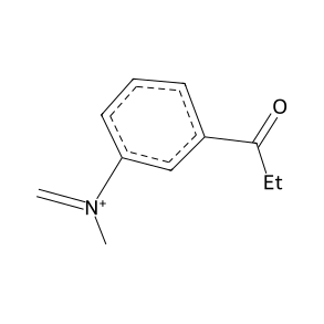 C=[N+](C)c1cccc(C(=O)CC)c1